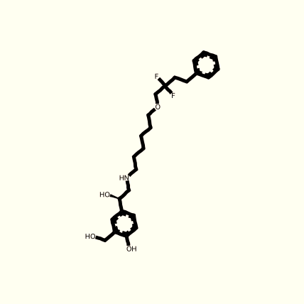 OCc1cc([C@@H](O)CNCCCCCCOCC(F)(F)CCc2ccccc2)ccc1O